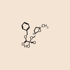 C[C@H]1CC[C@@H](COP(=O)(O)C(=O)OCc2ccccc2)O1